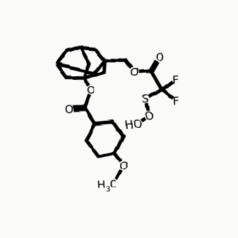 COC1CCC(C(=O)OC23CC4CC(CC(COC(=O)C(F)(F)SOO)(C4)C2)C3)CC1